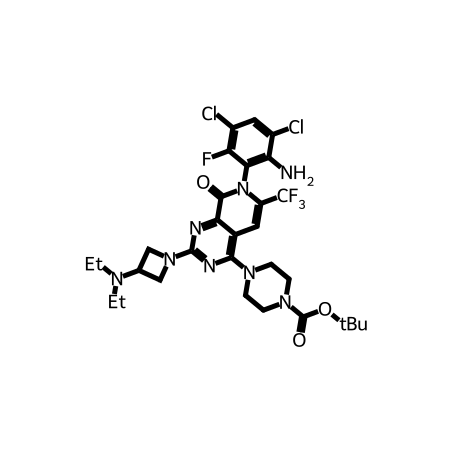 CCN(CC)C1CN(c2nc(N3CCN(C(=O)OC(C)(C)C)CC3)c3cc(C(F)(F)F)n(-c4c(N)c(Cl)cc(Cl)c4F)c(=O)c3n2)C1